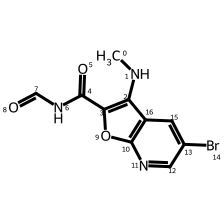 CNc1c(C(=O)NC=O)oc2ncc(Br)cc12